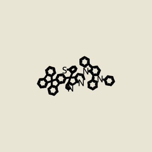 c1ccc(-n2c3ccccc3c3c2ccc2c4ccccc4n(-c4cnc5c(c4)C4(c6ccccc6Sc6cc7c(cc64)-c4ccccc4C74c6ccccc6-c6ccccc64)c4cccnc4-5)c23)cc1